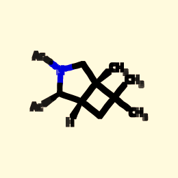 CC(=O)[C@@H]1[C@H]2CC(C)(C)[C@@]2(C)CN1C(C)=O